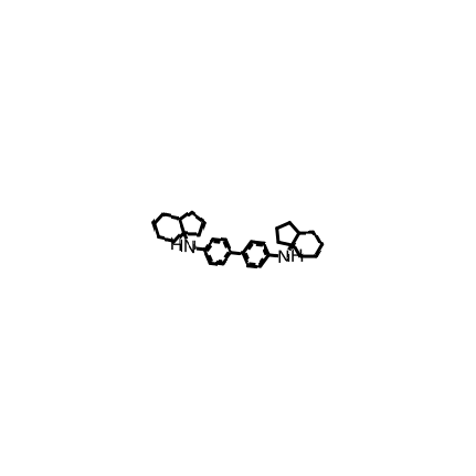 c1cc(-c2ccc(NC34CCCCC3CCC4)cc2)ccc1NC12CCCCC1CCC2